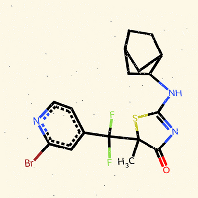 CC1(C(F)(F)c2ccnc(Br)c2)SC(NC2CC3CCC2C3)=NC1=O